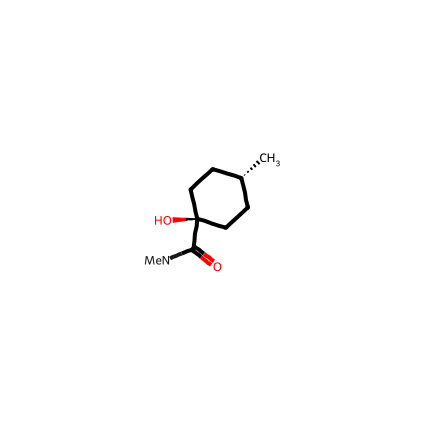 CNC(=O)[C@]1(O)CC[C@H](C)CC1